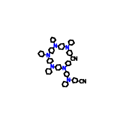 N#Cc1ccc(N(c2ccccc2)c2ccc(N(c3ccccc3)c3ccc(N(c4ccccc4)c4ccc(N(c5ccccc5)c5ccc(N(c6ccccc6)c6ccc(N(c7ccccc7)c7ccc(C#N)cc7)cc6)cc5)cc4)cc3)cc2)cc1